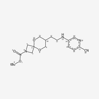 CC(C)(C)OC(=O)N1CC2(C1)OCC(CCNc1ccc(C#N)nc1)CO2